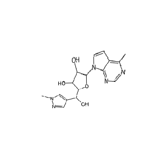 Cc1ncnc2c1ccn2C1OC(C(O)c2cnn(C)c2)C(O)C1O